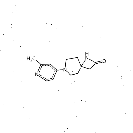 Cc1cc(N2CCC3(CC2)CC(=O)N3)ccn1